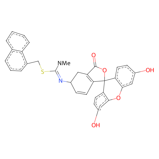 CN/C(=N\C1C=CC2=C(C1)C(=O)OC21c2ccc(O)cc2Oc2cc(O)ccc21)SCc1cccc2ccccc12